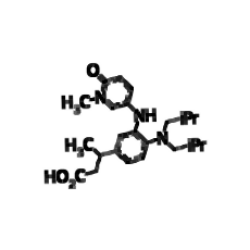 CC(C)CN(CC(C)C)c1ccc(C(C)CC(=O)O)cc1Nc1ccc(=O)n(C)c1